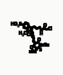 CCCCN1C(=O)C(=C/C=C/C=C2/N(CCCNC(=O)CCl)c3ccc(S(=O)(=O)O)cc3C2(C)C)C(=O)N(CCCC)C1=S